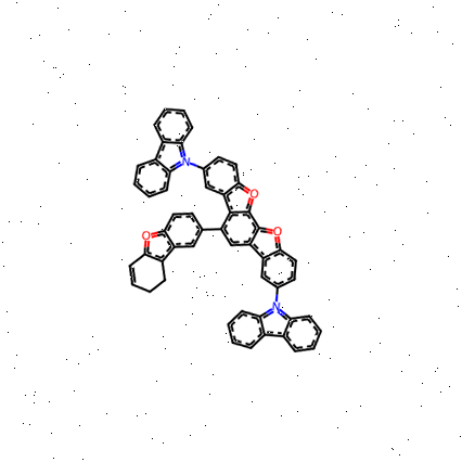 C1=Cc2oc3ccc(-c4cc5c6cc(-n7c8ccccc8c8ccccc87)ccc6oc5c5oc6ccc(-n7c8ccccc8c8ccccc87)cc6c45)cc3c2CC1